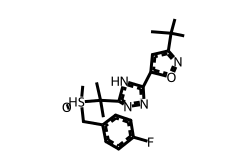 CC(C)(C)c1cc(-c2nnc(C(C)(C)[SH](C)(=O)Cc3ccc(F)cc3)[nH]2)on1